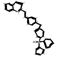 CC(C)(C)[Si](c1ccccc1)(c1ccccc1)c1ccc(Cc2ccc(C=Cc3ccc4ccccc4n3)cc2)cc1